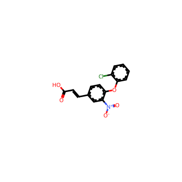 O=C(O)C=Cc1ccc(Oc2ccccc2Cl)c([N+](=O)[O-])c1